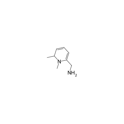 CC1C=CC=C(CN)N1C